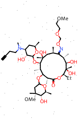 C#CCCN(C)[C@H]1C[C@@H](C)OC(O[C@@H]2[C@@H](C)[C@H](OC3C[C@@](C)(OC)[C@@H](O)[C@H](C)O3)[C@@H](C)C(=O)O[C@H](CC)[C@@](C)(O)[C@H](O)[C@@H](C)/C(=N/OCOCCOC)[C@H](C)C[C@@]2(C)O)[C@@H]1O